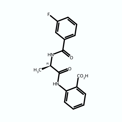 C[C@@H](NC(=O)c1cccc(F)c1)C(=O)Nc1ccccc1C(=O)O